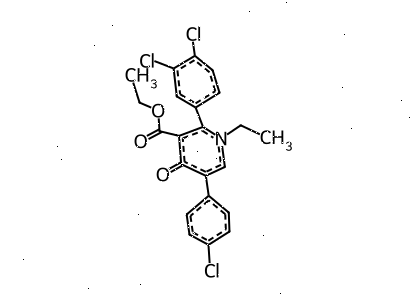 CCOC(=O)c1c(-c2ccc(Cl)c(Cl)c2)n(CC)cc(-c2ccc(Cl)cc2)c1=O